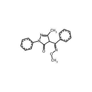 CON=C(c1ccccc1)C1C(=O)N(c2ccccc2)N=C1C